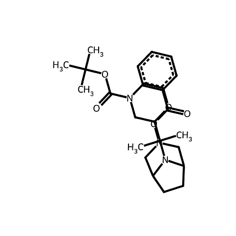 CC(C)(C)OC(=O)N1CCOC(C(C)(C)N2C3CCC2CN(OC(=O)c2ccccc2)C3)C1